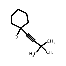 CC(C)(C)C#CC1(O)CCCCC1